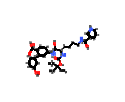 CC(C)(C)OC(=O)N[C@@H](CCCCNC(=O)c1cccnc1)C(=O)Nc1ccc(C(=O)O)c(-c2cccc(O)c2)c1